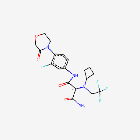 NC(=O)[C@@H](C(=O)Nc1ccc(N2CCOCC2=O)c(F)c1)N(CC(F)(F)F)C1CCC1